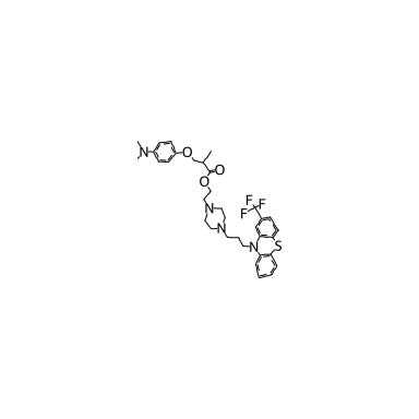 CC(COc1ccc(N(C)C)cc1)C(=O)OCCN1CCN(CCCN2c3ccccc3Sc3ccc(C(F)(F)F)cc32)CC1